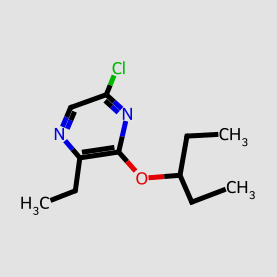 CCc1ncc(Cl)nc1OC(CC)CC